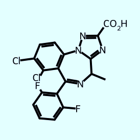 CC1N=C(c2c(F)cccc2F)c2c(ccc(Cl)c2Cl)-n2nc(C(=O)O)nc21